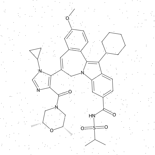 COc1ccc2c(c1)C=C(c1c(C(=O)N3C[C@@H](C)O[C@@H](C)C3)ncn1C1CC1)Cn1c-2c(C2CCCCC2)c2ccc(C(=O)NS(=O)(=O)C(C)C)cc21